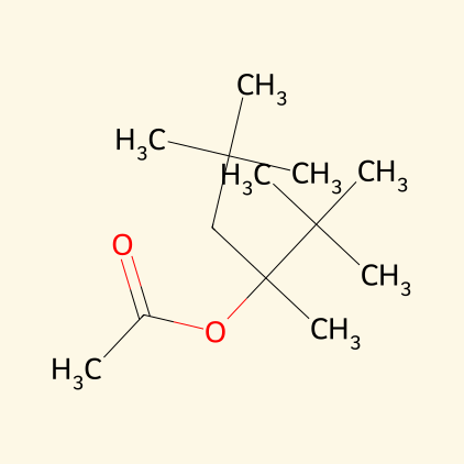 CC(=O)OC(C)(CC(C)(C)C)C(C)(C)C